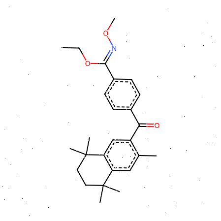 CCOC(=NOC)c1ccc(C(=O)c2cc3c(cc2C)C(C)(C)CCC3(C)C)cc1